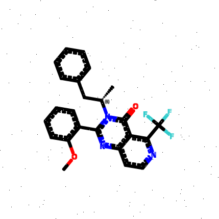 COc1ccccc1-c1nc2ccnc(C(F)(F)F)c2c(=O)n1[C@@H](C)Cc1ccccc1